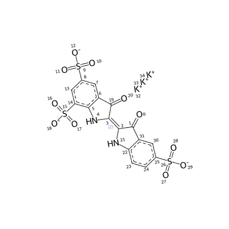 O=C1/C(=C2/Nc3c(cc(S(=O)(=O)[O-])cc3S(=O)(=O)[O-])C2=O)Nc2ccc(S(=O)(=O)[O-])cc21.[K+].[K+].[K+]